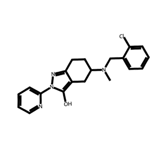 CN(Cc1ccccc1Cl)C1CCc2nn(-c3ccccn3)c(O)c2C1